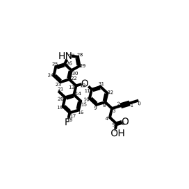 CC#CC(CC(=O)O)c1ccc(OC(c2ccc(F)cc2C)c2cccc3[nH]ccc23)cc1